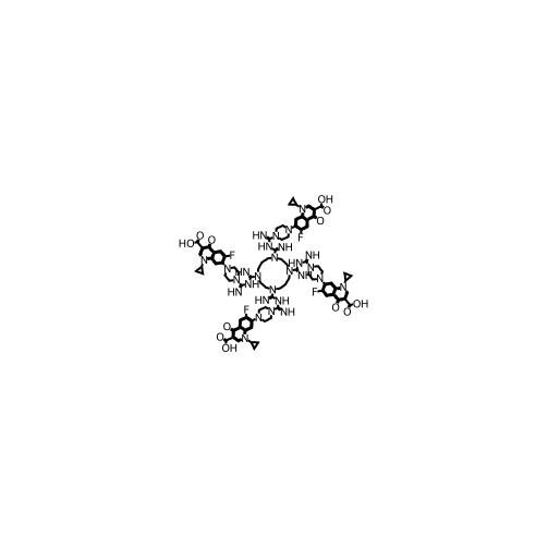 N=C(NC(=N)N1CCN(c2cc3c(cc2F)c(=O)c(C(=O)O)cn3C2CC2)CC1)N1CCCN(C(=N)NC(=N)N2CCN(c3cc4c(cc3F)c(=O)c(C(=O)O)cn4C3CC3)CC2)CCN(C(=N)NC(=N)N2CCN(c3cc4c(cc3F)c(=O)c(C(=O)O)cn4C3CC3)CC2)CCCN(C(=N)NC(=N)N2CCN(c3cc4c(cc3F)c(=O)c(C(=O)O)cn4C3CC3)CC2)CC1